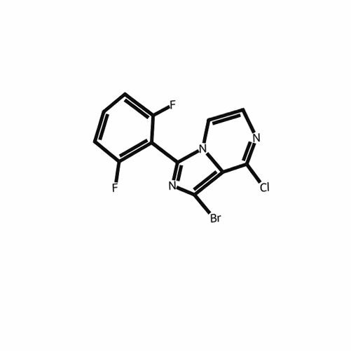 Fc1cccc(F)c1-c1nc(Br)c2c(Cl)nccn12